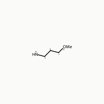 COCCC[NH]